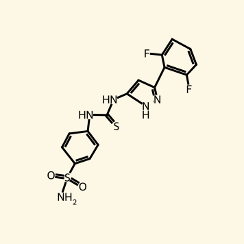 NS(=O)(=O)c1ccc(NC(=S)Nc2cc(-c3c(F)cccc3F)n[nH]2)cc1